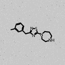 Cc1cccc(Cc2nsc(N3CCCNCC3)n2)c1